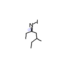 CC/C(CC(C)CC)=N/I